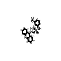 COc1cccc(NS(=O)(=O)CNc2c3ccccc3nc3ccccc23)c1